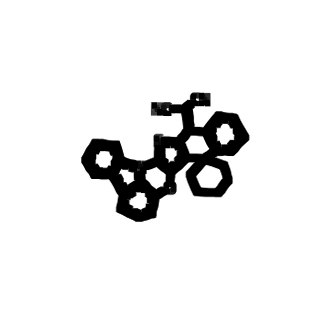 N#CC(C#N)=C1c2ccccc2C2(CCCCC2)c2c1sc1c2Oc2cccc3c4ccccc4n-1c23